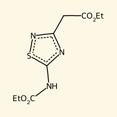 CCOC(=O)Cc1nsc(NC(=O)OCC)n1